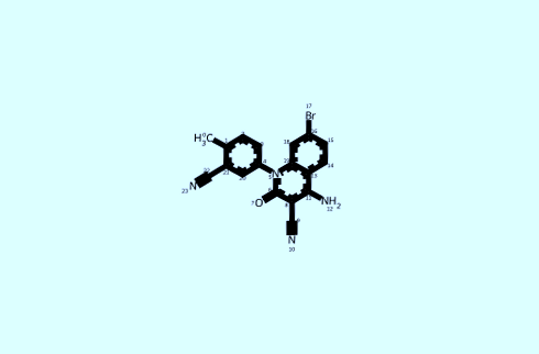 Cc1ccc(-n2c(=O)c(C#N)c(N)c3ccc(Br)cc32)cc1C#N